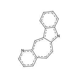 c1cnc2cc3c4ccccc4nc-3ccc2c1